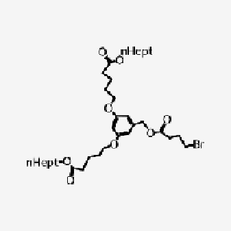 CCCCCCCOC(=O)CCCCOc1cc(COC(=O)CCCBr)cc(OCCCCC(=O)OCCCCCCC)c1